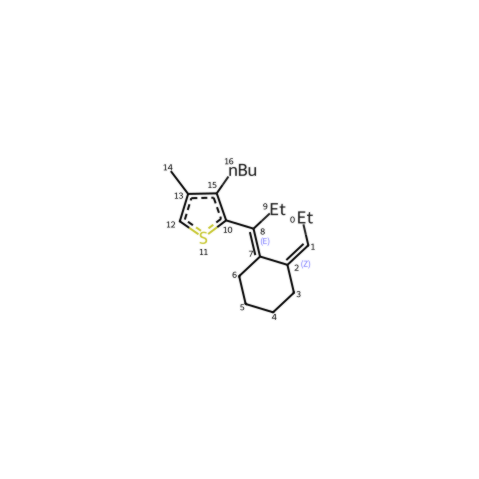 CC/C=C1/CCCC/C1=C(/CC)c1scc(C)c1CCCC